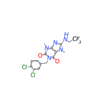 Cn1c(NCC(F)(F)F)nc2c1c(=O)n(Cc1ccc(Cl)c(Cl)c1)c(=O)n2C